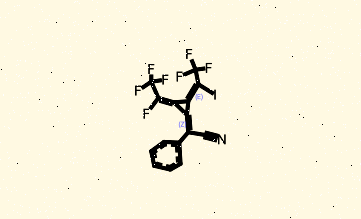 N#C/C(=C1/C(=C(F)C(F)(F)F)/C1=C(/I)C(F)(F)F)c1ccccc1